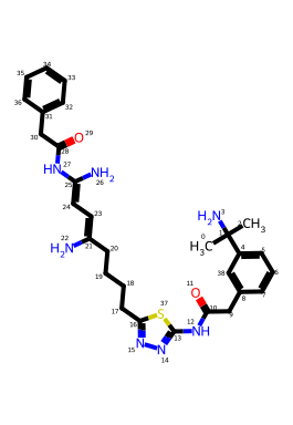 CC(C)(N)c1cccc(CC(=O)Nc2nnc(CCCC/C(N)=C/C=C(\N)NC(=O)Cc3ccccc3)s2)c1